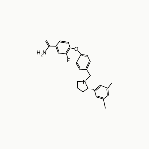 C=C(N)c1ccc(Oc2ccc(CN3CCC[C@H]3c3cc(C)cc(C)c3)cc2)c(F)c1